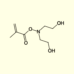 C=C(C)C(=O)ON(CCO)CCO